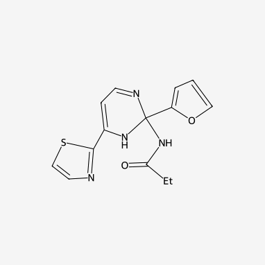 CCC(=O)NC1(c2ccco2)N=CC=C(c2nccs2)N1